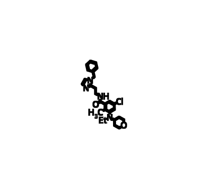 CCN(c1cc(Cl)cc(C(=O)NCCc2nccn2Cc2ccccc2)c1C)C1CCOCC1